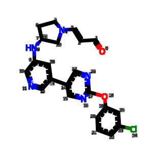 O=CC=CN1CC[C@H](Nc2cncc(-c3cnc(Oc4cccc(Cl)c4)nc3)c2)C1